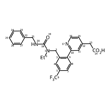 CCN(Cc1cc(C(F)(F)F)ccc1-c1cc(CC(=O)O)ccn1)C(=O)NCc1ccccc1